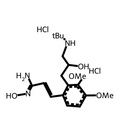 COc1ccc(C=CC(N)=NO)c(CC(O)CNC(C)(C)C)c1OC.Cl.Cl